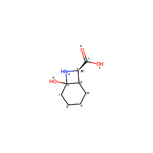 O=C(O)[C@@H]1NC2(O)CCCCC12